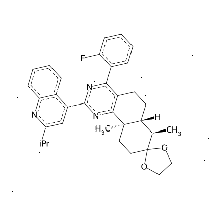 CC(C)c1cc(-c2nc(-c3ccccc3F)c3c(n2)[C@]2(C)CCC4(OCCO4)[C@H](C)[C@H]2CC3)c2ccccc2n1